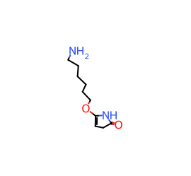 NCCCCCCOC1=CCC(=O)N1